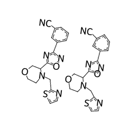 N#Cc1cccc(-c2noc(C3COCCN3Cc3nccs3)n2)c1.N#Cc1cccc(-c2noc(C3COCCN3Cc3nccs3)n2)c1